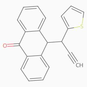 C#CC(c1cccs1)C1c2ccccc2C(=O)c2ccccc21